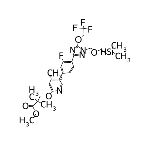 COC(=O)C(C)(C)COc1cc(C)c(-c2ccc(-c3nc(OCC(F)(F)F)n(COCC[SiH](C)C)n3)c(F)c2)cn1